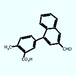 Cc1ccc(-c2cc(C=O)cc3ccccc23)cc1C(=O)O